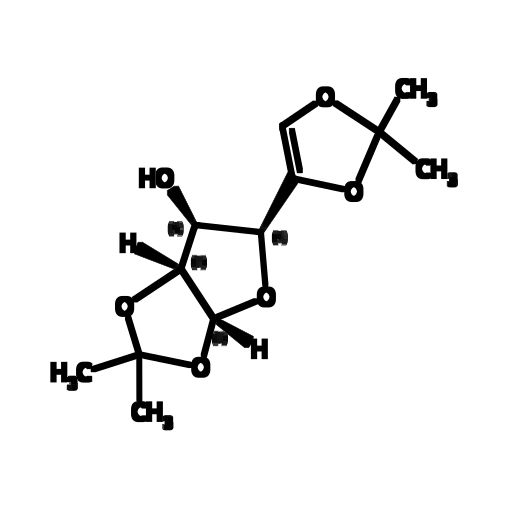 CC1(C)OC=C([C@H]2O[C@@H]3OC(C)(C)O[C@@H]3[C@H]2O)O1